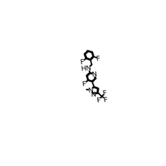 Cn1nc(C(F)(F)F)cc1-c1cnc(NCc2c(F)cccc2F)cc1F